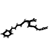 CCCCCCCCCCCCCC(CCCCCc1ccccc1)C(C)=O